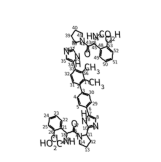 Cc1c(-c2ccc(-c3cnc(C4CCCN4C(=O)C(NC(=O)O)c4ccccc4Cl)[nH]3)cc2)ccc(-c2cnc([C@@H]3CCCN3C(=O)[C@H](NC(=O)O)c3ccccc3Cl)[nH]2)c1C